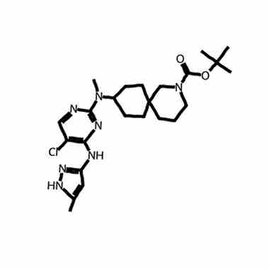 Cc1cc(Nc2nc(N(C)C3CCC4(CCCN(C(=O)OC(C)(C)C)C4)CC3)ncc2Cl)n[nH]1